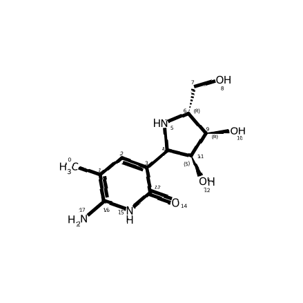 Cc1cc(C2N[C@H](CO)[C@@H](O)[C@H]2O)c(=O)[nH]c1N